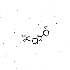 COc1cccc(-c2nc3cc(CS(N)(=O)=O)cnc3s2)c1